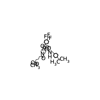 COC(=O)CCCC(=O)N1CCN(S(=O)(=O)c2ccc(C(F)(F)F)cc2)[C@@H](C(=O)NCc2ccc(C(C)C)cc2)C1